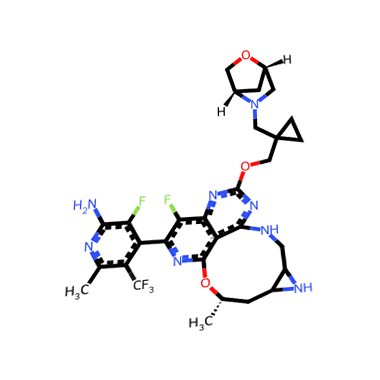 Cc1nc(N)c(F)c(-c2nc3c4c(nc(OCC5(CN6C[C@@H]7C[C@H]6CO7)CC5)nc4c2F)NCC2NC2C[C@H](C)O3)c1C(F)(F)F